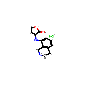 Cl.O=C1OCCC1Nc1cccc2c1CNCC2